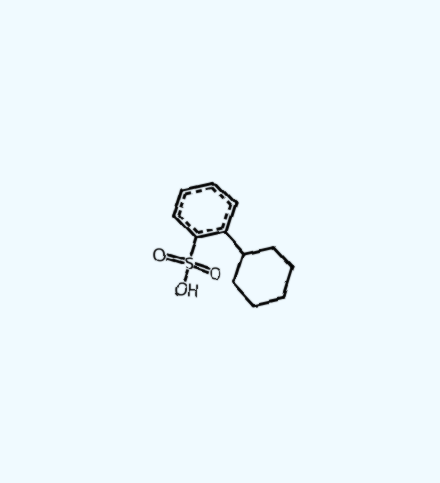 O=S(=O)(O)c1ccccc1C1CCCCC1